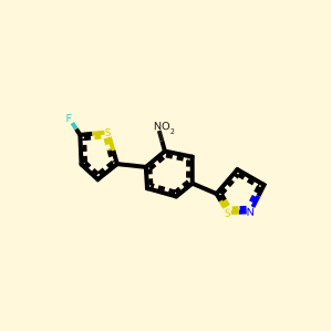 O=[N+]([O-])c1cc(-c2ccns2)ccc1-c1ccc(F)s1